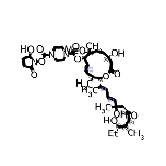 CC[C@H](O)[C@@H](C)[C@H]1O[C@@H]1CC(C)(O)/C=C/C=C(\C)[C@H]1OC(=O)C[C@H](O)CC[C@@](C)(OC)[C@@H](OC(=O)N2CCN(C(=O)ON3C(=O)C=CC3O)CC2)/C=C/[C@@H]1C